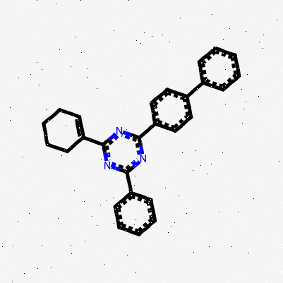 C1=C(c2nc(-c3ccccc3)nc(-c3ccc(-c4ccccc4)cc3)n2)CCCC1